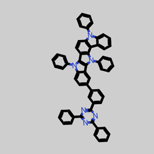 c1ccc(-c2nc(-c3ccccc3)nc(-c3cccc(-c4ccc5c(c4)c4c(c6ccc7c(c8ccccc8n7-c7ccccc7)c6n4-c4ccccc4)n5-c4ccccc4)c3)n2)cc1